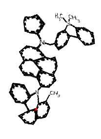 Cc1ccccc1N(c1ccccc1-c1ccccc1)c1ccc2ccc3c(N(c4ccccc4)c4ccc5c(c4)[Si](C)(C)c4ccccc4-5)ccc4ccc1c2c43